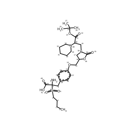 CCCCS(=O)(=O)C(N)(Cc1ccc(OCC2CN(CC(C(=O)OC(C)(C)C)N3CCCCC3)C(=O)O2)cc1)C(=O)O